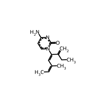 C=C(CC)/C(=C\C(C)=C/C)n1ccc(N)nc1=O